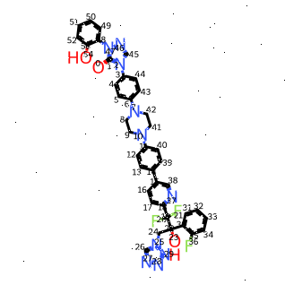 O=c1n(-c2ccc(N3CCN(c4ccc(-c5ccc(C(F)(F)C(O)(Cn6cnnn6)c6ccccc6F)nc5)cc4)CC3)cc2)cnn1-c1ccccc1O